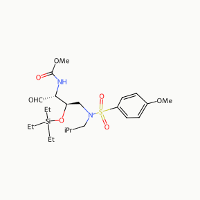 CC[Si](CC)(CC)O[C@H](CN(CC(C)C)S(=O)(=O)c1ccc(OC)cc1)[C@H](C=O)NC(=O)OC